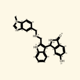 Cn1cnc2cc(CNCc3[nH]c4ccccc4c3C3NC(=O)c4ccc(O)cc43)ccc21